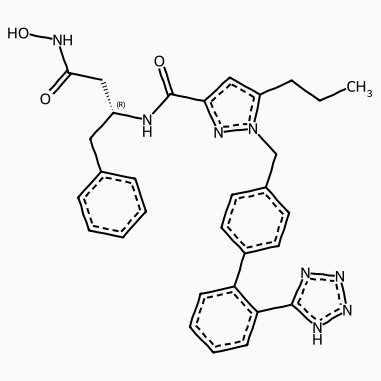 CCCc1cc(C(=O)N[C@@H](CC(=O)NO)Cc2ccccc2)nn1Cc1ccc(-c2ccccc2-c2nnn[nH]2)cc1